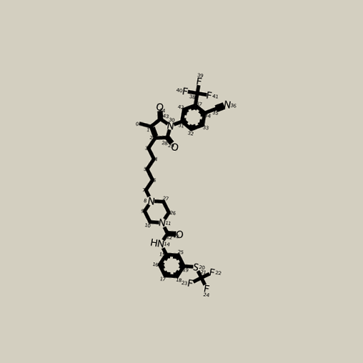 CC1=C(CCCCCN2CCN(C(=O)Nc3cccc(SC(F)(F)F)c3)CC2)C(=O)N(c2ccc(C#N)c(C(F)(F)F)c2)C1=O